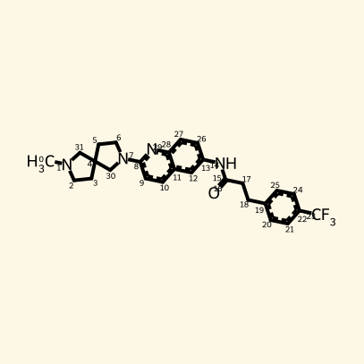 CN1CCC2(CCN(c3ccc4cc(NC(=O)CCc5ccc(C(F)(F)F)cc5)ccc4n3)C2)C1